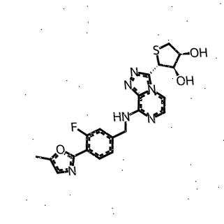 Cc1cnc(-c2ccc(CNc3nccn4c([C@@H]5SC[C@@H](O)[C@H]5O)nnc34)cc2F)o1